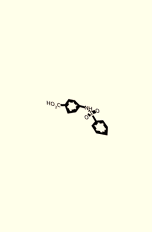 O=C(O)c1ccc(NS(=O)(=O)c2ccccc2)cc1